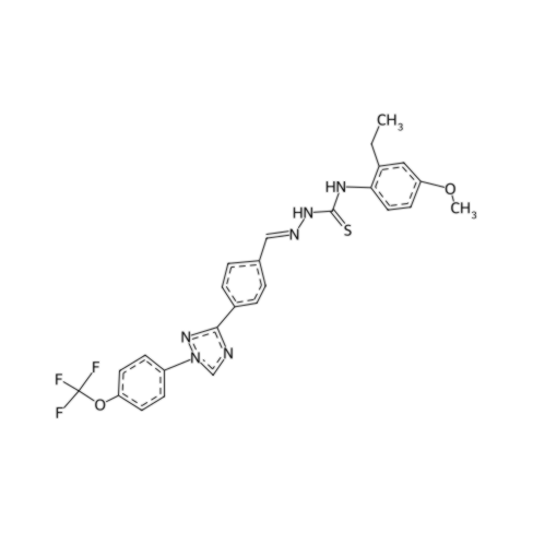 CCc1cc(OC)ccc1NC(=S)N/N=C/c1ccc(-c2ncn(-c3ccc(OC(F)(F)F)cc3)n2)cc1